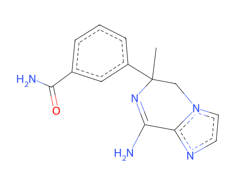 CC1(c2cccc(C(N)=O)c2)Cn2ccnc2C(N)=N1